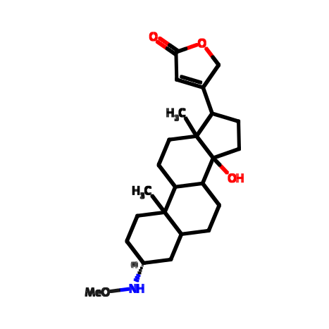 CON[C@@H]1CCC2(C)C(CCC3C2CCC2(C)C(C4=CC(=O)OC4)CCC32O)C1